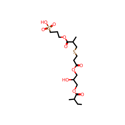 CCC(C)C(=O)OCC(O)COC(=O)CCSCC(C)C(=O)OCCCS(=O)(=O)O